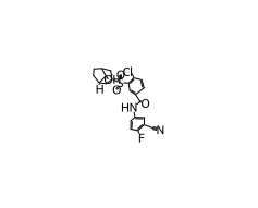 C[C@@]1(O)C2CC[C@H]1C[C@H](S(=O)(=O)c1cc(C(=O)Nc3ccc(F)c(C#N)c3)ccc1Cl)C2